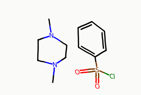 CN1CCN(C)CC1.O=S(=O)(Cl)c1ccccc1